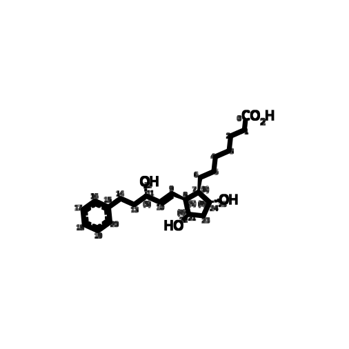 O=C(O)CCCCCC[C@@H]1[C@H](C=C[C@@H](O)CCc2ccccc2)[C@H](O)C[C@H]1O